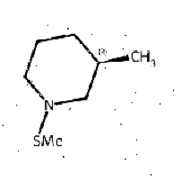 CSN1CCC[C@@H](C)C1